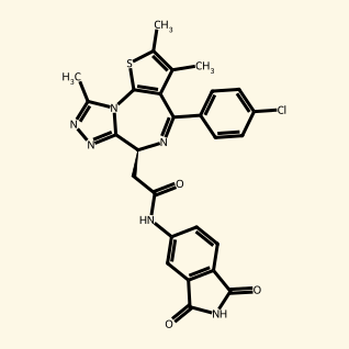 Cc1sc2c(c1C)C(c1ccc(Cl)cc1)=N[C@@H](CC(=O)Nc1ccc3c(c1)C(=O)NC3=O)c1nnc(C)n1-2